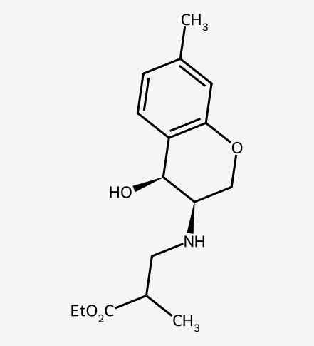 CCOC(=O)C(C)CN[C@@H]1COc2cc(C)ccc2[C@@H]1O